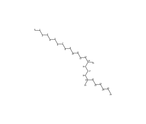 CCCCCCCCCCCCCCC(C)CCCC(C)CCCCCC